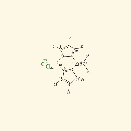 CC1=C(C)C(C)[C]([Zr+2]([C]2=C(C)C(C)=C(C)C2C)=[Si](C)C)=C1C.[Cl-].[Cl-]